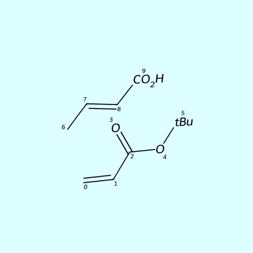 C=CC(=O)OC(C)(C)C.CC=CC(=O)O